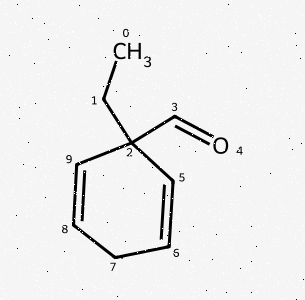 CCC1(C=O)C=C[CH]C=C1